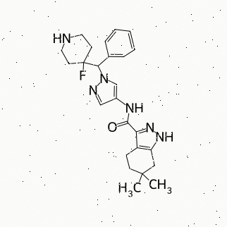 CC1(C)CCc2c(C(=O)Nc3cnn(C(c4ccccc4)C4(F)CCNCC4)c3)n[nH]c2C1